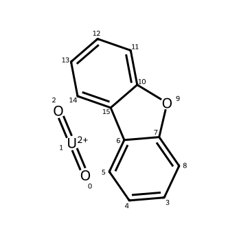 [O]=[U+2]=[O].c1ccc2c(c1)oc1ccccc12